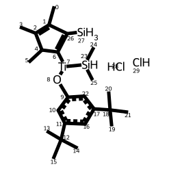 CC1=C(C)C(C)[C]([Ti]([O]c2cc(C(C)(C)C)cc(C(C)(C)C)c2)[SiH](C)C)=C1[SiH3].Cl.Cl